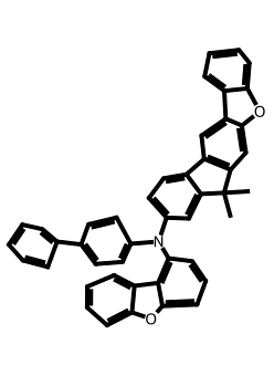 CC1(C)c2cc(N(c3ccc(-c4ccccc4)cc3)c3cccc4oc5ccccc5c34)ccc2-c2cc3c(cc21)oc1ccccc13